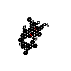 C=Cc1ccc(CC(CC(CC(CC(CC(Cl)c2ccc(CC(CC(CC(Cl)c3ccccc3)c3ccc(CC(CC(Cl)c4ccccc4)c4ccccc4)cc3)c3ccccc3)cc2)c2ccccc2)c2ccccc2)c2ccc(CC(CC(CC(Cl)c3ccccc3)c3ccc(CCl)cc3)c3ccc(CC(CC(CC(Cl)c4ccccc4)c4ccccc4)c4ccc(CCl)cc4)cc3)cc2)c2ccccc2)cc1